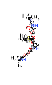 CC(C)/C=C/CNC(=O)COCCOC(COc1cccc(NC(=O)CCOCCOCCNC(C)C)c1)SSC(C)(C)C